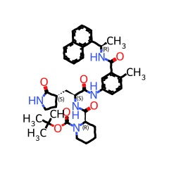 Cc1ccc(NC(=O)[C@H](C[C@@H]2CCNC2=O)NC(=O)[C@H]2CCCCN2C(=O)OC(C)(C)C)cc1C(=O)N[C@H](C)c1cccc2ccccc12